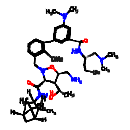 COc1c(CN2O[C@@H](CN)[C@@H]([C@H](C)O)[C@H]2C(=O)N[C@H]2C[C@H]3C[C@@H]([C@@H]2C)C3(C)C)cccc1-c1cc(C(=O)N[C@H](CN(C)C)CC(C)(C)C)cc(N(C)C)c1